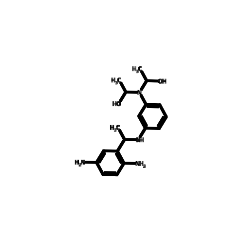 CC(Nc1cccc(N(C(C)O)C(C)O)c1)c1cc(N)ccc1N